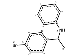 CC(Nc1ccccc1)c1ccc(Br)cc1